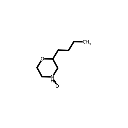 CCCCC1C[NH+]([O-])CCO1